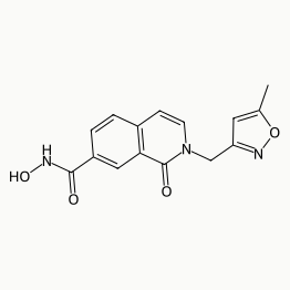 Cc1cc(Cn2ccc3ccc(C(=O)NO)cc3c2=O)no1